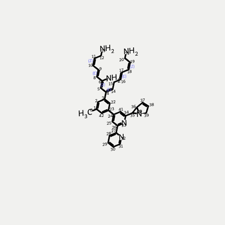 Cc1cc(C(/C=C(N)/C=C/C=C\CN)=C/C/C=C/C=C\CN)cc(-c2cc(-c3ccccn3)nc(C3C4C=CC[N@]43)c2)c1